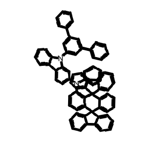 c1ccc(-c2cc(-c3ccccc3)cc(-n3c4ccccc4c4ccc(N(c5ccccc5)c5cccc6c5C5(c7ccccc7-c7ccccc75)c5ccccc5C65c6ccccc6-c6ccccc65)cc43)c2)cc1